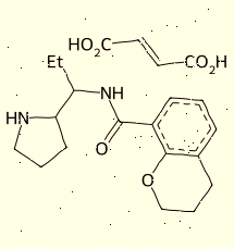 CCC(NC(=O)c1cccc2c1OCCC2)C1CCCN1.O=C(O)C=CC(=O)O